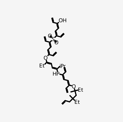 C=CCC(C)(CC)CC(C)(CC)O/C(C=C)=C/C=C(\C=C)P/C(=C/C=C(\CC)O/C(C=C)=C/C=C(\C=C)S(=O)(=O)/C(C=C)=C/C=C(/O)C=C)C(C)C